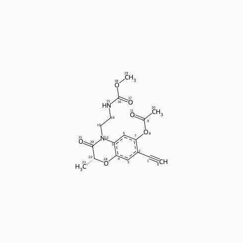 C#Cc1cc2c(cc1OC(C)=O)N(CCNC(=O)OC)C(=O)[C@@H](C)O2